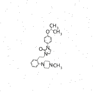 CC(C)Oc1ccc(-n2ccn(CCc3ccccc3N3CCN(C)CC3)c2=O)cc1